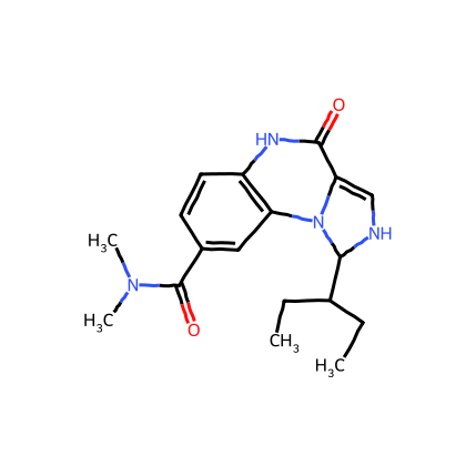 CCC(CC)C1NC=C2C(=O)Nc3ccc(C(=O)N(C)C)cc3N21